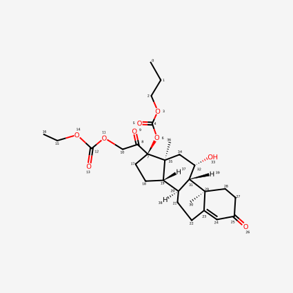 CCCOC(=O)O[C@]1(C(=O)COC(=O)OCC)CC[C@H]2[C@@H]3CCC4=CC(=O)CC[C@]4(C)[C@H]3[C@@H](O)C[C@@]21C